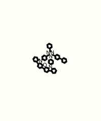 c1ccc(-c2ccc(-c3nc(-c4ccccc4)nc(-c4ccc(-n5c6ccccc6c6ccc7c8ccc9c%10ccccc%10n(-c%10ccccc%10)c9c8oc7c65)cc4)n3)cc2)cc1